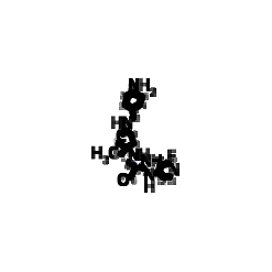 CCC1(N/C=C(/C=O)C(=N)Nc2ccnc(F)c2)CCC(NCc2ccc(N)cc2)CC1